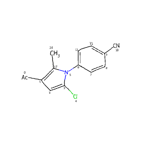 CC(=O)c1cc(Cl)n(-c2ccc(C#N)cc2)c1C